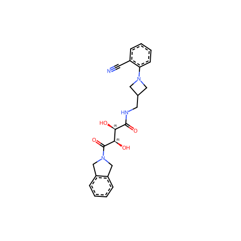 N#Cc1ccccc1N1CC(CNC(=O)[C@H](O)[C@@H](O)C(=O)N2Cc3ccccc3C2)C1